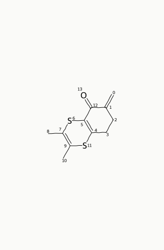 C=C1CCC2=C(SC(C)=C(C)S2)C1=O